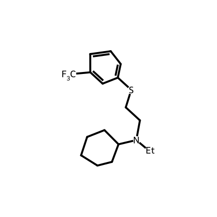 CCN(CCSc1cccc(C(F)(F)F)c1)C1CCCCC1